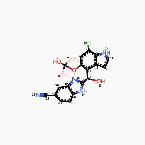 BC(B)(O)Oc1cc(Cl)c2[nH]ccc2c1C(O)c1nc2cc(C#N)ccc2[nH]1